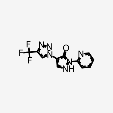 O=c1c(-n2cc(C(F)(F)F)nn2)c[nH]n1-c1ccccn1